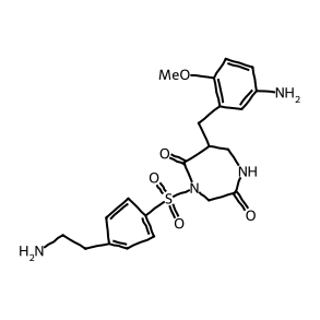 COc1ccc(N)cc1CC1CNC(=O)CN(S(=O)(=O)c2ccc(CCN)cc2)C1=O